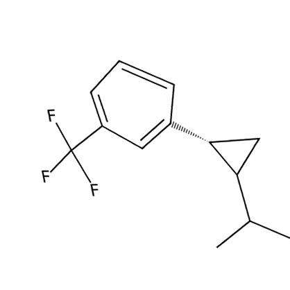 CC(C)C1C[C@H]1c1cccc(C(F)(F)F)c1